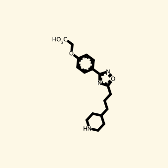 O=C(O)COc1ccc(-c2noc(CCCC3CCNCC3)n2)cc1